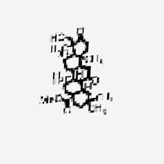 COC(=O)[C@]12CCC(C)(C)C[C@H]1[C@H]1C(=O)C=C3[C@@]4(C)CCC(=O)[C@@](C)(CO)[C@@H]4CC[C@@]3(C)[C@]1(C)CC2